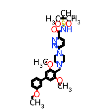 CCOc1cccc(-c2cc(OC)c(CN3CCN(c4ccc(C(=O)NS(=O)(=O)C(C)(C)C)nn4)CC3)c(OC)c2)c1